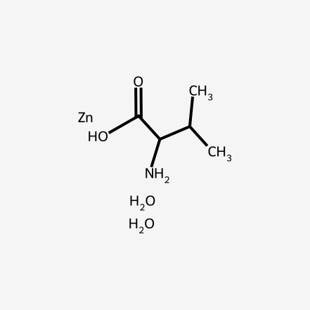 CC(C)C(N)C(=O)O.O.O.[Zn]